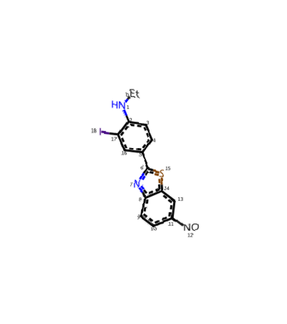 CCNc1ccc(-c2nc3ccc(N=O)cc3s2)cc1I